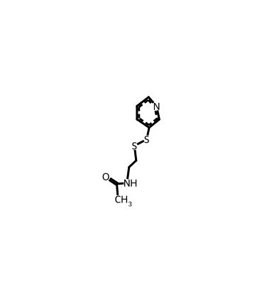 CC(=O)NCCSSc1cccnc1